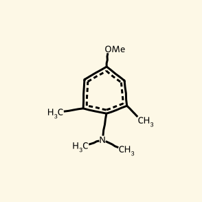 COc1cc(C)c(N(C)C)c(C)c1